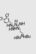 CCCCN(CCCC)CCCNC(=N)NC(=N)NCc1ccc(Cl)c(Cl)c1